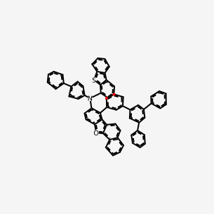 c1ccc(-c2ccc(N(c3ccc4oc5c6ccccc6ccc5c4c3-c3cccc(-c4cc(-c5ccccc5)cc(-c5ccccc5)c4)c3)c3cccc4c3sc3ccccc34)cc2)cc1